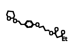 CCC(=O)CC(=O)OCCCCOc1ccc(CCOC2CCCCO2)cc1